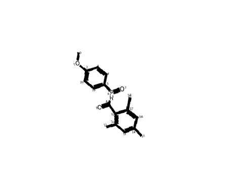 COc1ccc([PH](=O)C(=O)c2c(C)cc(C)cc2C)cc1